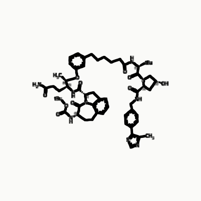 Cc1ncsc1-c1ccc(CNC(=O)[C@@H]2C[C@@H](O)CN2C(=O)[C@@H](NC(=O)CCCCCc2cccc(O[C@H](C)[C@H](CCC(N)=O)NC(=O)[C@@H]3Cc4cccc5c4N3C(=O)[C@@H](NC(=O)OC(C)(C)C)CC5)c2)C(C)(C)C)cc1